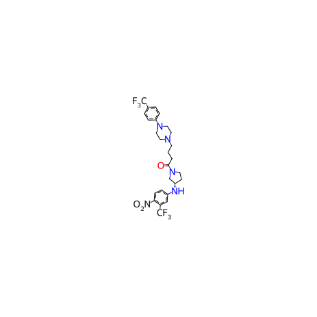 O=C(CCCN1CCN(c2ccc(C(F)(F)F)cc2)CC1)N1CC[C@@H](Nc2ccc([N+](=O)[O-])c(C(F)(F)F)c2)C1